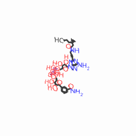 C#CCCC1(CC(=O)NCC#Cc2nc(N)c3ncn(C4OC(COP(=O)(O)OP(=O)(O)OCC5OC(c6cccc(C(N)=O)c6)C(O)C5O)C(O)C4O)c3n2)C=C1